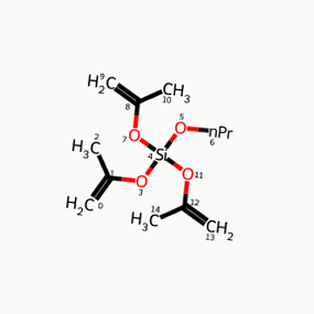 C=C(C)O[Si](OCCC)(OC(=C)C)OC(=C)C